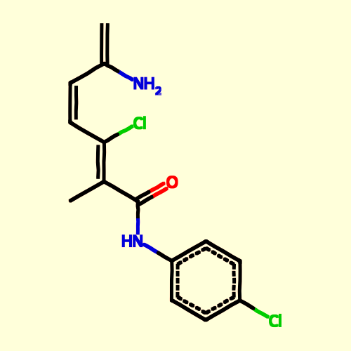 C=C(N)/C=C\C(Cl)=C(/C)C(=O)Nc1ccc(Cl)cc1